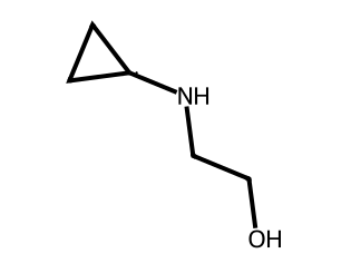 OCCN[C]1CC1